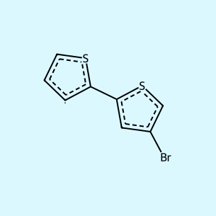 Brc1csc(-c2[c]ccs2)c1